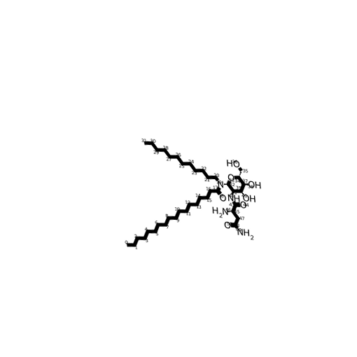 CCCCCCCCCCCCCCCCCC(=O)N(CCCCCCCCCCCC)[C@@H]1O[C@H](CO)[C@@H](O)[C@H](O)[C@H]1NC(=O)[C@@H](N)CC(N)=O